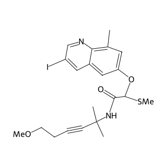 COCCC#CC(C)(C)NC(=O)C(Oc1cc(C)c2ncc(I)cc2c1)SC